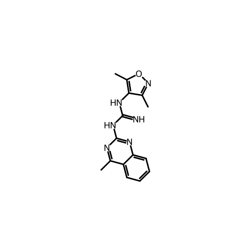 Cc1noc(C)c1NC(=N)Nc1nc(C)c2ccccc2n1